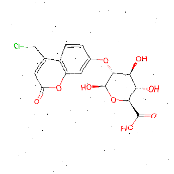 O=C(O)[C@H]1O[C@@H](O)[C@H](Oc2ccc3c(CCl)cc(=O)oc3c2)[C@@H](O)[C@@H]1O